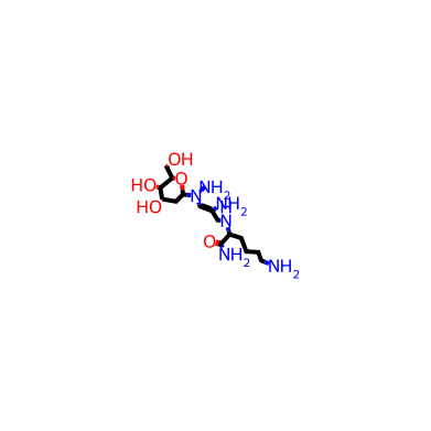 NCCCCC(NC/C(N)=C/N(N)C1CC(O)C(O)C(CO)O1)C(N)=O